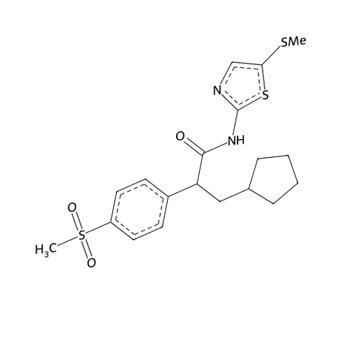 CSc1cnc(NC(=O)C(CC2CCCC2)c2ccc(S(C)(=O)=O)cc2)s1